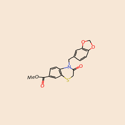 COC(=O)c1ccc2c(c1)SCC(=O)N2Cc1ccc2c(c1)OCO2